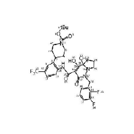 CC(C)(C)OC(=O)N1CCC(c2cc(C(F)(F)F)ccc2NC(=O)C2=C(O)C3(C)CCCN3N(Cc3cccc(F)c3F)C2=O)CC1